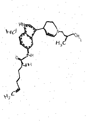 C=CCCCNC(=O)Nc1ccc2[nH]cc(C3C=CN(CC(C)C)CC3)c2c1.Cl